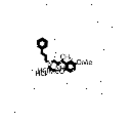 COc1ccc(OC)c(C(C)C2CN(CCCc3ccccc3)CCN2)c1.Cl.Cl